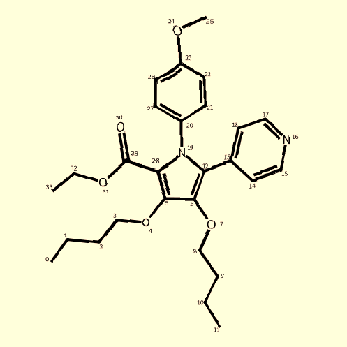 CCCCOc1c(OCCCC)c(-c2ccncc2)n(-c2ccc(OC)cc2)c1C(=O)OCC